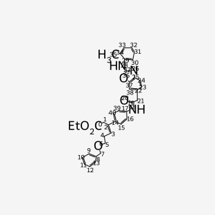 CCOC(=O)CC(=CCCOCc1ccccc1)c1ccc(NC(=O)Cc2ccc3nc(Nc4ccccc4C)oc3c2)cc1